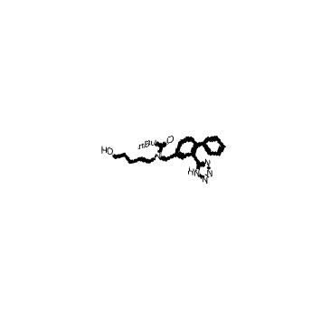 CCCCC(=O)N(CCCCCO)Cc1ccc(-c2ccccc2)c(-c2nnn[nH]2)c1